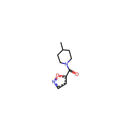 CC1CCN(C(=O)c2ccno2)CC1